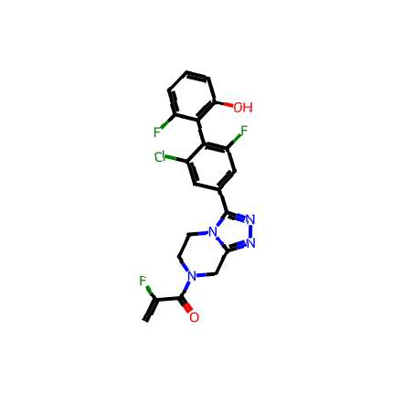 C=C(F)C(=O)N1CCn2c(nnc2-c2cc(F)c(-c3c(O)cccc3F)c(Cl)c2)C1